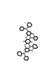 Cc1c2c(c(C)c3c1Sc1cc(N(c4ccccc4)c4ccccc4)cc4c1B3c1ccccc1S4)B1c3ccccc3Sc3cc(N(c4ccccc4)c4ccccc4)cc(c31)S2